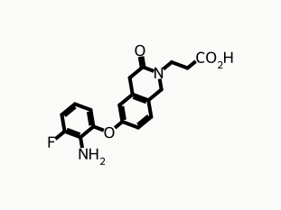 Nc1c(F)cccc1Oc1ccc2c(c1)CC(=O)N(CCC(=O)O)C2